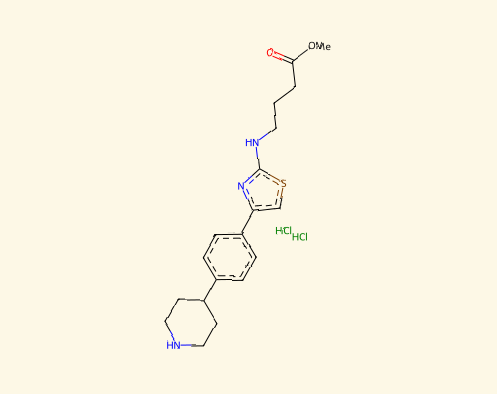 COC(=O)CCCNc1nc(-c2ccc(C3CCNCC3)cc2)cs1.Cl.Cl